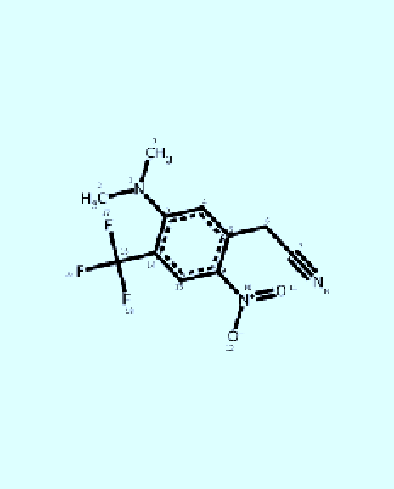 CN(C)c1cc(CC#N)c([N+](=O)[O-])cc1C(F)(F)F